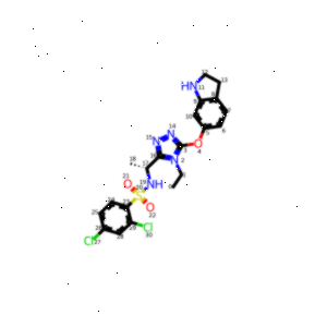 CCn1c(Oc2ccc3c(c2)NCC3)nnc1[C@@H](C)NS(=O)(=O)c1ccc(Cl)cc1Cl